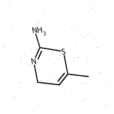 CC1=CCN=C(N)S1